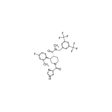 Cc1cc(F)ccc1[C@@H]1CN(C(=O)c2c[nH]cn2)CC[C@H]1C(=O)N(C)Cc1cc(C(F)(F)F)cc(C(F)(F)F)c1